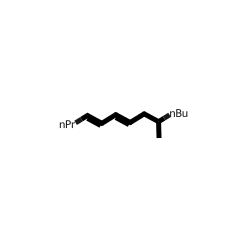 CCCC=CC=CCC(C)CCCC